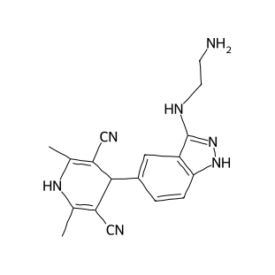 CC1=C(C#N)C(c2ccc3[nH]nc(NCCN)c3c2)C(C#N)=C(C)N1